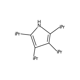 CC(C)c1[nH]c(C(C)C)c(C(C)C)c1C(C)C